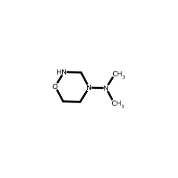 CN(C)N1CCONC1